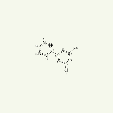 Fc1cc(Cl)cc(-c2nncnn2)c1